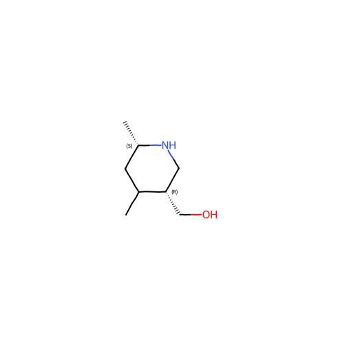 CC1C[C@H](C)NC[C@@H]1CO